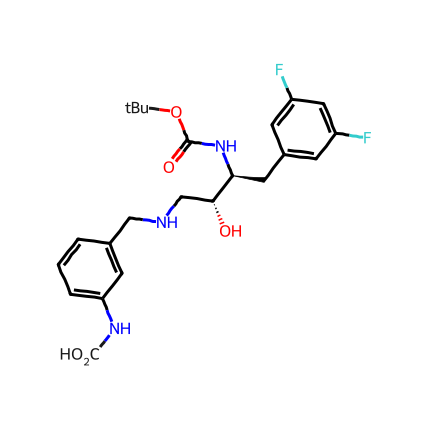 CC(C)(C)OC(=O)N[C@@H](Cc1cc(F)cc(F)c1)[C@H](O)CNCc1cccc(NC(=O)O)c1